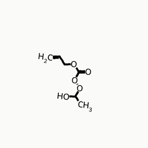 C=CCOC(=O)OOC(C)O